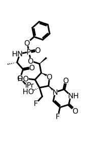 CC(C)OC(=O)[C@H](C)NP(=O)(Oc1ccccc1)O[C@@H](C)[C@H]1O[C@@H](n2cc(F)c(=O)[nH]c2=O)[C@@](O)(CF)C1O